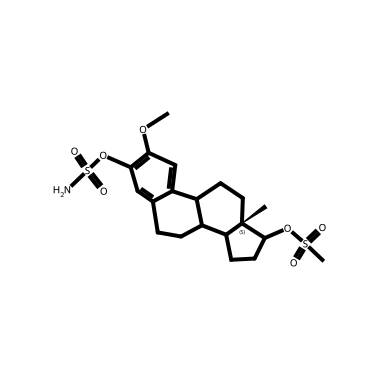 COc1cc2c(cc1OS(N)(=O)=O)CCC1C2CC[C@]2(C)C(OS(C)(=O)=O)CCC12